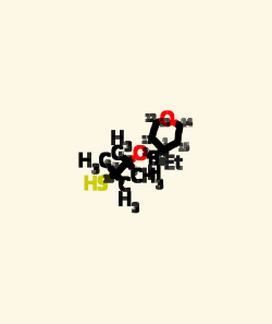 CCC1(BOC(C)(C)C(C)(C)S)CCOCC1